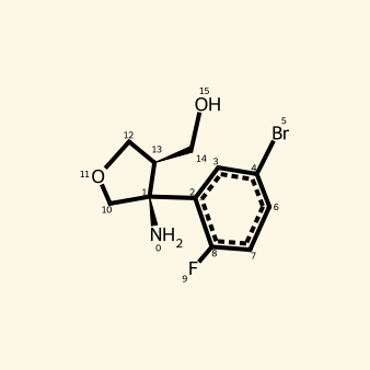 N[C@@]1(c2cc(Br)ccc2F)COC[C@H]1CO